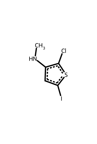 CNc1cc(I)sc1Cl